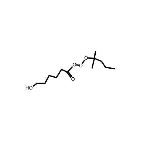 CCCC(C)(C)OOOC(=O)CCCCCO